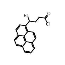 CCC(CCC(=O)Cl)c1ccc2ccc3cccc4ccc1c2c34